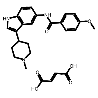 COc1ccc(C(=O)Nc2ccc3[nH]cc(C4CCN(C)CC4)c3c2)cc1.O=C(O)C=CC(=O)O